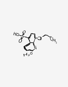 CCOc1ccc(S(=O)(=O)O)c2cccnc12.O